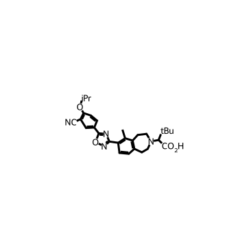 Cc1c(-c2noc(-c3ccc(OC(C)C)c(C#N)c3)n2)ccc2c1CCN(C(C(=O)O)C(C)(C)C)CC2